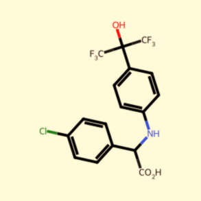 O=C(O)C(Nc1ccc(C(O)(C(F)(F)F)C(F)(F)F)cc1)c1ccc(Cl)cc1